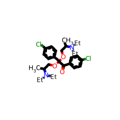 CCN(CC)C(C)COC(OCC(C)N(CC)CC)(C(=O)c1ccc(Cl)cc1)c1ccc(Cl)cc1